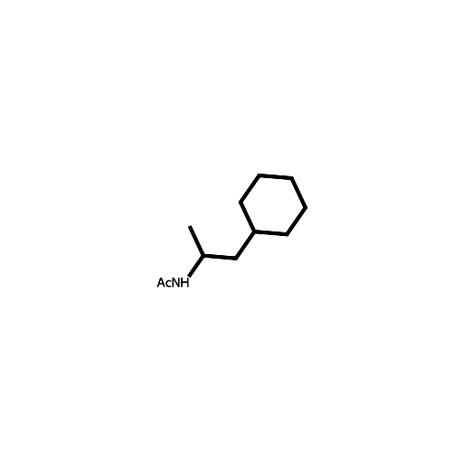 CC(=O)NC(C)CC1CCCCC1